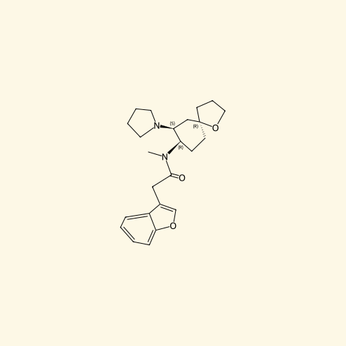 CN(C(=O)Cc1coc2ccccc12)[C@@H]1CC[C@@]2(CCCO2)C[C@@H]1N1CCCC1